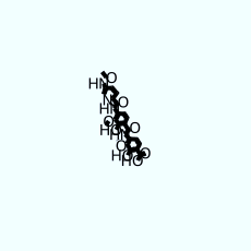 COc1c(NC(=O)c2ccc(NC(=O)c3ccc(NC(C)=O)cn3)c(OC)c2O)ccc(C(=O)O)c1O